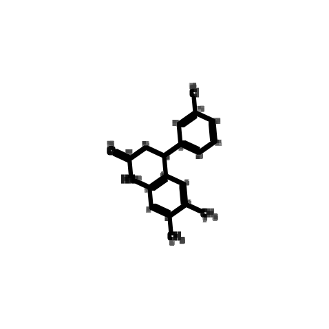 Cc1cc2c(cc1C)C(c1cccc(Cl)c1)CC(=O)N2